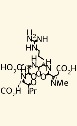 CN[C@@H](CC(=O)O)C(=O)N[C@@H](CCCNC(=N)N)C(=O)N[C@@H](CC(=O)O)C(=O)N[C@@H](CC(=O)O)C(=O)C(C)C